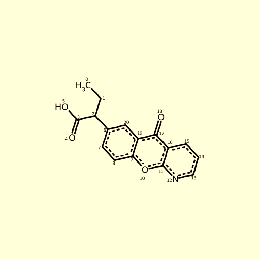 CCC(C(=O)O)c1ccc2oc3ncccc3c(=O)c2c1